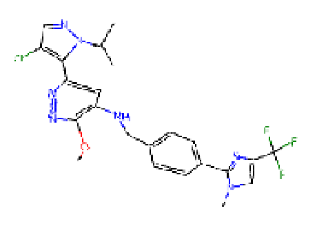 COc1nnc(-c2c(Cl)cnn2C(C)C)cc1NCc1ccc(-c2nc(C(F)(F)F)cn2C)cc1